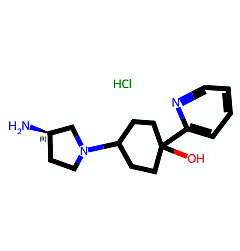 Cl.N[C@@H]1CCN(C2CCC(O)(c3ccccn3)CC2)C1